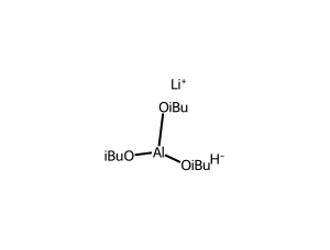 CC(C)C[O][Al]([O]CC(C)C)[O]CC(C)C.[H-].[Li+]